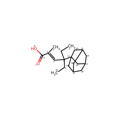 CCC(C=C(C)C(=O)O)(CC)C12CC3CC(CC(C3)C1)C2